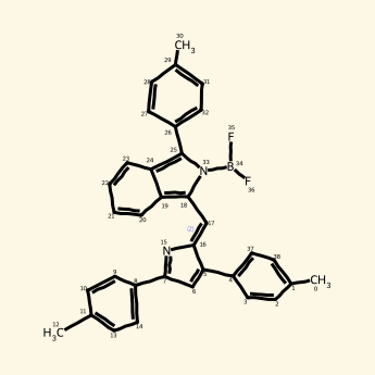 Cc1ccc(C2=CC(c3ccc(C)cc3)=N/C2=C\c2c3ccccc3c(-c3ccc(C)cc3)n2B(F)F)cc1